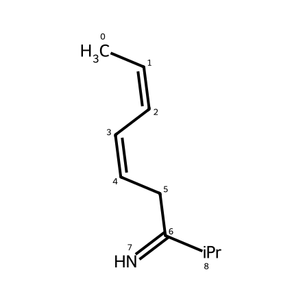 C/C=C\C=C/CC(=N)C(C)C